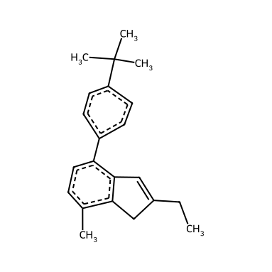 CCC1=Cc2c(-c3ccc(C(C)(C)C)cc3)ccc(C)c2C1